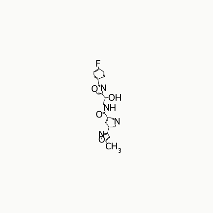 Cc1cc(-c2cncc(C(=O)NCC(O)c3coc(-c4ccc(F)cc4)n3)c2)no1